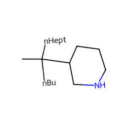 CCCCCCCC(C)(CCCC)C1CCCNC1